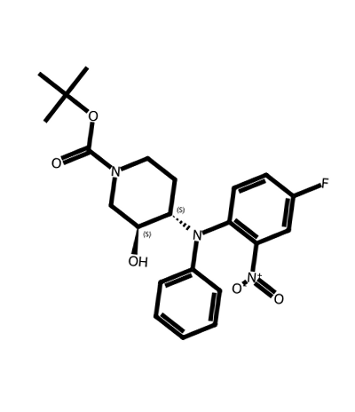 CC(C)(C)OC(=O)N1CC[C@H](N(c2ccccc2)c2ccc(F)cc2[N+](=O)[O-])[C@@H](O)C1